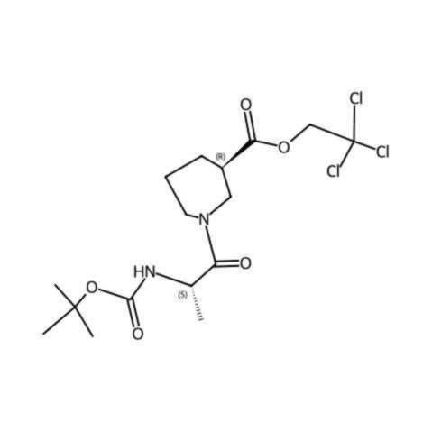 C[C@H](NC(=O)OC(C)(C)C)C(=O)N1CCC[C@@H](C(=O)OCC(Cl)(Cl)Cl)C1